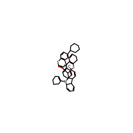 CC1C=CC2C3C=CC=CC3N(C3=CCCCC3)C2C1C1=CCCC2=C1C1(C3=CCCC=C3SC3=C1C=CCC3)c1cc(C3CCCCC3)ccc1S2